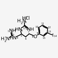 Cl.N=C(N)NC(CCOc1cccc(I)c1)NC(=N)N